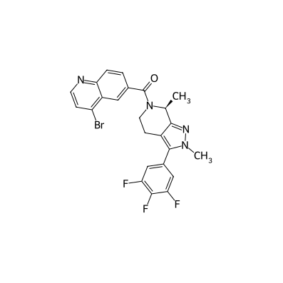 C[C@H]1c2nn(C)c(-c3cc(F)c(F)c(F)c3)c2CCN1C(=O)c1ccc2nccc(Br)c2c1